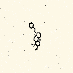 COc1ccc2c(c1OC)CC[C@@H]1[C@@H]2CCCN1CCc1ccccc1